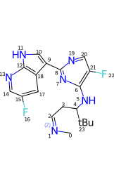 C/N=C\CC(Nc1nc(-c2c[nH]c3ncc(F)cc23)ncc1F)C(C)(C)C